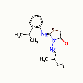 CC(C)/C=N/N1C(=O)CS/C1=N\c1ccccc1C(C)C